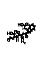 NC(CC(=O)c1cc2ccccc2n1CC(=O)O)C(=O)NC(CC=O)C(=O)O